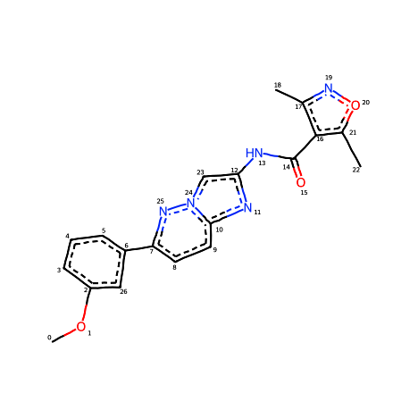 COc1cccc(-c2ccc3nc(NC(=O)c4c(C)noc4C)cn3n2)c1